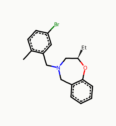 CC[C@@H]1CN(Cc2cc(Br)ccc2C)Cc2ccccc2O1